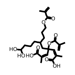 C=C(C)C(=O)OCCCC(CCCC(O)O)CC(C=C(C)C(=O)O)(C=C(C)C(=O)O)OC(=O)C(=C)C